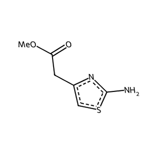 [CH2]OC(=O)Cc1csc(N)n1